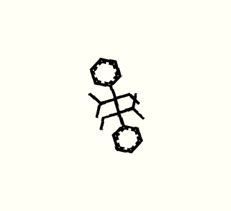 CCC(c1ccccc1)(C(C)C)C(CC)(c1ccccc1)C(C)C